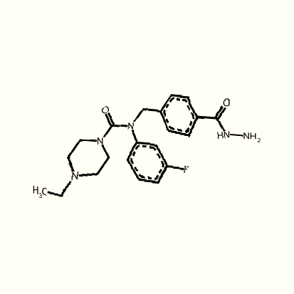 CCN1CCN(C(=O)N(Cc2ccc(C(=O)NN)cc2)c2cccc(F)c2)CC1